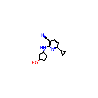 N#Cc1ccc(C2CC2)nc1NC1CCC(O)C1